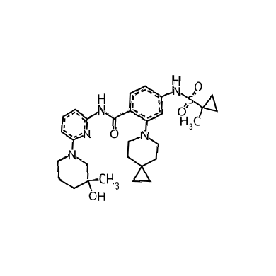 CC1(S(=O)(=O)Nc2ccc(C(=O)Nc3cccc(N4CCC[C@@](C)(O)C4)n3)c(N3CCC4(CC3)CC4)c2)CC1